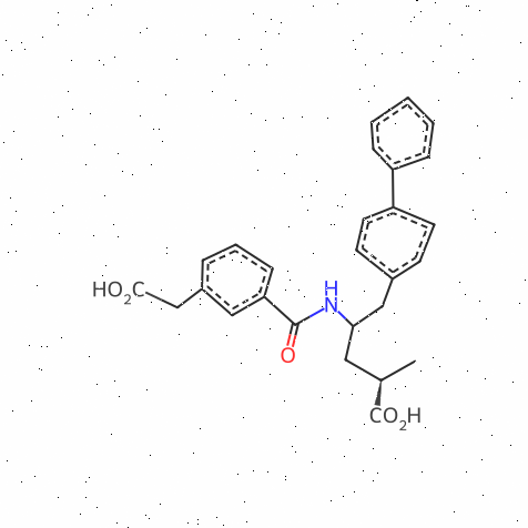 C[C@H](CC(Cc1ccc(-c2ccccc2)cc1)NC(=O)c1cccc(CC(=O)O)c1)C(=O)O